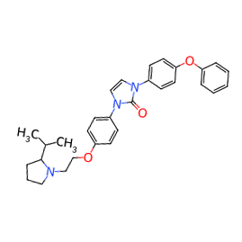 CC(C)C1CCCN1CCOc1ccc(-n2ccn(-c3ccc(Oc4ccccc4)cc3)c2=O)cc1